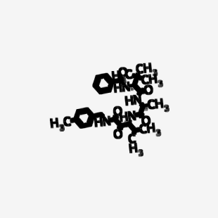 Cc1ccc(CNC(=O)C(=O)[C@@H](NC(=O)[C@H](C)NC(=O)[C@@H](NC(=O)c2ccccc2)C(C)(C)C)C(C)C)cc1